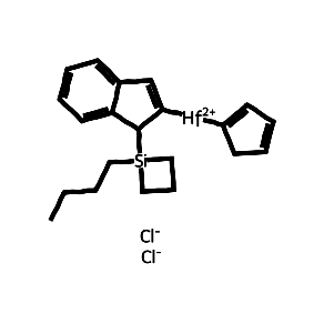 CCCC[Si]1(C2[C]([Hf+2][C]3=CC=CC3)=Cc3ccccc32)CCC1.[Cl-].[Cl-]